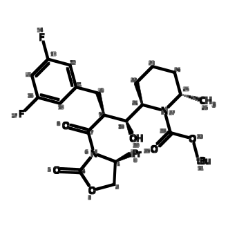 CC(C)[C@H]1COC(=O)N1C(=O)[C@@H](Cc1cc(F)cc(F)c1)[C@H](O)[C@H]1CCC[C@H](C)N1C(=O)OC(C)(C)C